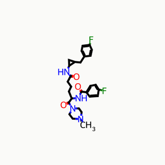 CN1CCN(C(=O)C(CCCC(=O)NC2CC2Cc2ccc(F)cc2)NC(=O)c2ccc(F)cc2)CC1